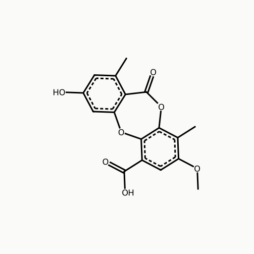 COc1cc(C(=O)O)c2c(c1C)OC(=O)c1c(C)cc(O)cc1O2